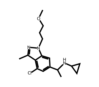 COCCCn1nc(C)c2c(Cl)cc(C(C)NC3CC3)cc21